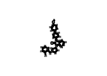 COc1ccc(-c2ccc(-n3c(=O)n([C@H]4CCN(Cc5ncccc5C)C4)c4ncccc43)cc2)cc1